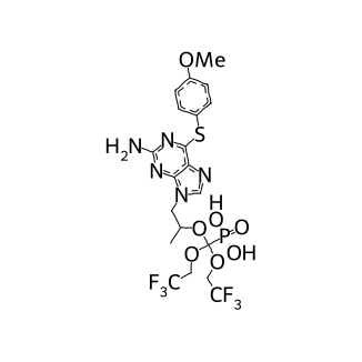 COc1ccc(Sc2nc(N)nc3c2ncn3CC(C)OC(OCC(F)(F)F)(OCC(F)(F)F)P(=O)(O)O)cc1